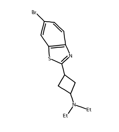 CCN(CC)C1CC(c2nc3ccc(Br)cc3s2)C1